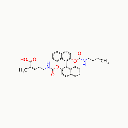 CCCCNC(=O)Oc1ccc2ccccc2c1-c1c(OC(=O)NCCC=C(C)C(=O)O)ccc2ccccc12